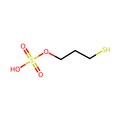 O=S(=O)(O)OCCCS